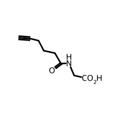 C#CCCCC(=O)NCC(=O)O